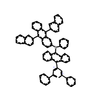 C=C(/C=C(\C=C(/C)c1ccccc1)c1c2ccccc2c(N(c2ccccc2)c2ccc3c(-c4ccc5ccccc5c4)c4ccccc4c(-c4ccc5ccccc5c4)c3c2)c2ccccc12)c1ccccc1